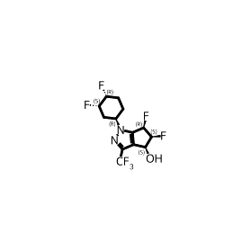 O[C@H]1c2c(C(F)(F)F)nn([C@@H]3CC[C@@H](F)[C@@H](F)C3)c2[C@@H](F)[C@H]1F